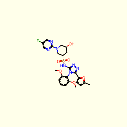 COc1cccc(OC)c1-n1c(NS(=O)(=O)[C@H]2C[C@H](O)CN(c3ncc(F)cn3)C2)nnc1-c1ccc(C)o1